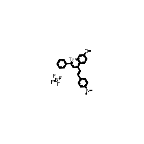 COc1ccc2c(C=Cc3ccc(N(C)C)cc3)cc(-c3ccccc3)[te+]c2c1.F[B-](F)(F)F